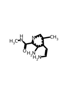 CNC(=O)c1ncc(C)c(/C=C\N)c1N